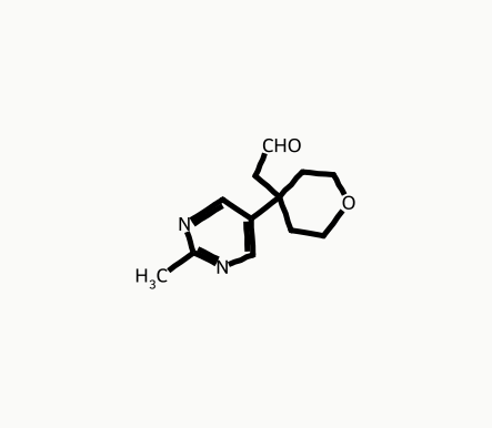 Cc1ncc(C2(CC=O)CCOCC2)cn1